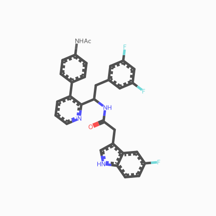 CC(=O)Nc1ccc(-c2cccnc2C(Cc2cc(F)cc(F)c2)NC(=O)Cc2c[nH]c3ccc(F)cc23)cc1